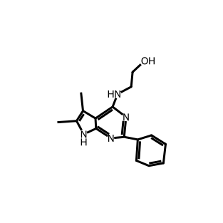 Cc1[nH]c2nc(-c3ccccc3)nc(NCCO)c2c1C